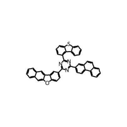 c1ccc2cc3c(cc2c1)oc1ccc(-c2nc(-c4ccc5c(ccc6ccccc65)c4)nc(-c4cccc5sc6ccccc6c45)n2)cc13